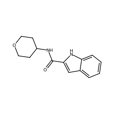 O=C(NC1CCOCC1)c1cc2ccccc2[nH]1